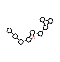 c1ccc(-c2ccc(-c3cccc(-c4ccc5oc6c(-c7cccc(-c8ccc9c%10ccccc%10c%10ccccc%10c9c8)c7)cccc6c5c4)c3)cc2)cc1